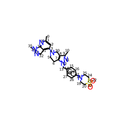 Cc1cc(N2CCc3c(c(C)nn3CC34CCC(N5CCS(=O)(=O)CC5)(CC3)CC4)C2)c2cnn(C)c2n1